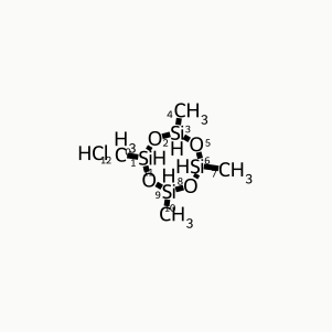 C[SiH]1O[SiH](C)O[SiH](C)O[SiH](C)O1.Cl